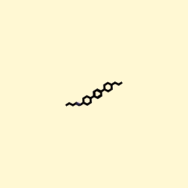 CCC/C=C/C1CCC(c2ccc(C3CCC(CCC)CC3)cc2)CC1